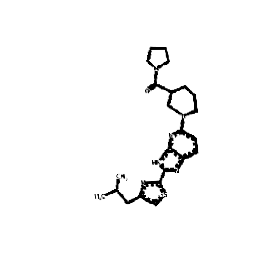 CC(C)Cc1csc(-c2nc3ccc(N4CCCC(C(=O)N5CCCC5)C4)nc3[nH]2)n1